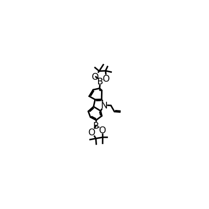 C=CCn1c2cc(B3OC(C)(C)C(C)(C)O3)ccc2c2ccc(B3OC(C)(C)C(C)(C)O3)cc21